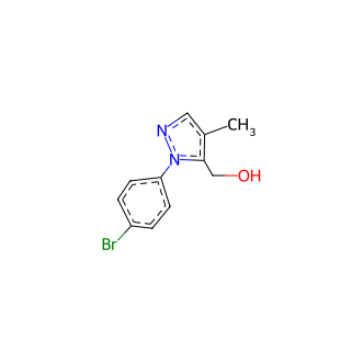 Cc1cnn(-c2ccc(Br)cc2)c1CO